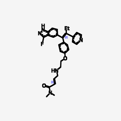 CC/C(=C(/c1ccc(OCCNC/C=C/C(=O)N(C)C)cc1)c1ccc2[nH]nc(F)c2c1)c1ccncc1